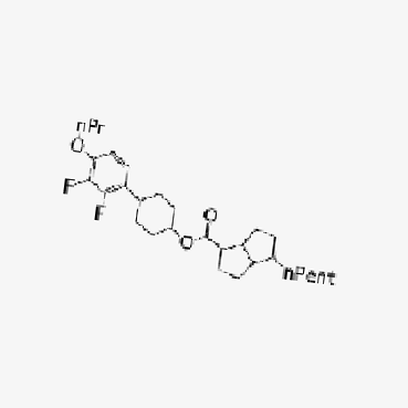 CCCCCC1CCC2C(C(=O)OC3CCC(c4ccc(OCCC)c(F)c4F)CC3)CCC12